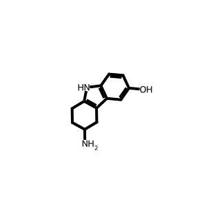 NC1CCc2[nH]c3ccc(O)cc3c2C1